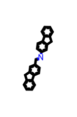 C(=Nc1ccc2c(c1)Cc1ccccc1-2)c1ccc2c(c1)Cc1ccccc1-2